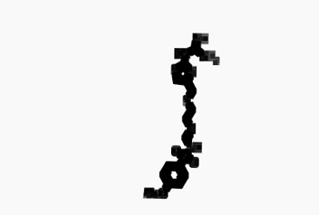 COc1ccc(S(=O)(=O)NC=NCCSCc2csc(NC(=N)N)n2)cc1